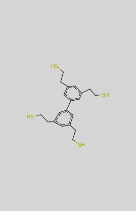 SCCc1cc(CCS)cc(-c2cc(CCS)cc(CCS)c2)c1